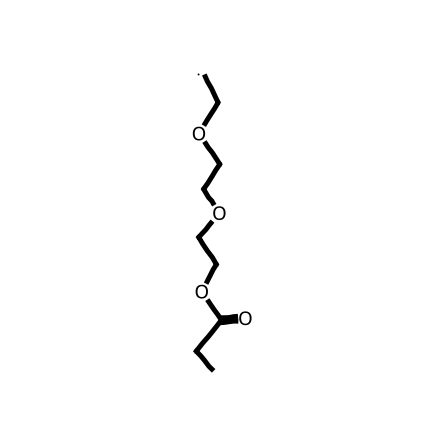 [CH2]COCCOCCOC(=O)CC